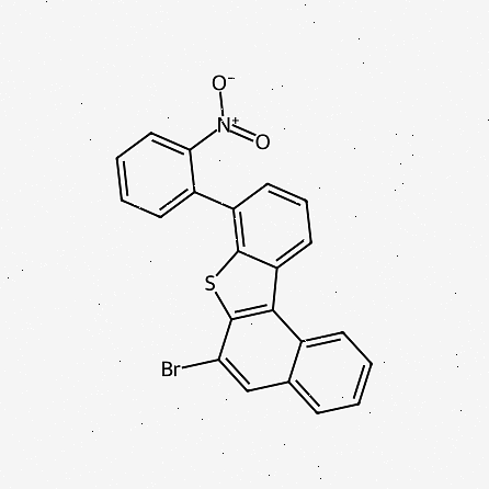 O=[N+]([O-])c1ccccc1-c1cccc2c1sc1c(Br)cc3ccccc3c12